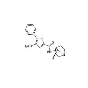 COc1cc(C(=O)N[C@H]2CN3CCC2CC3)sc1-c1ccccc1